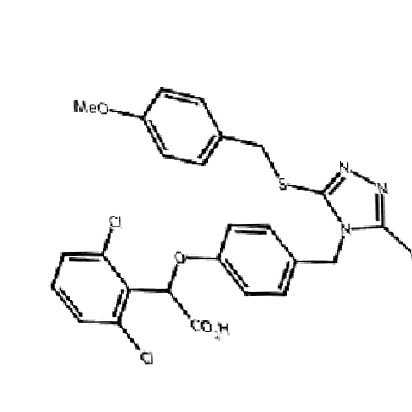 CCCCc1nnc(SCc2ccc(OC)cc2)n1Cc1ccc(OC(C(=O)O)c2c(Cl)cccc2Cl)cc1